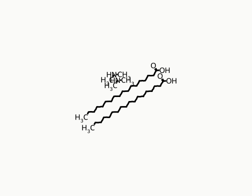 CCCCCCCCCCCCCCCCCC(=O)O.CCCCCCCCCCCCCCCCCC(=O)O.CNC.CNC